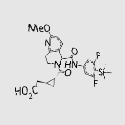 COc1ccc2c(n1)CCN(C(=O)[C@@H]1C[C@H]1CC(=O)O)C2C(=O)Nc1cc(F)c([Si](C)(C)C)c(F)c1